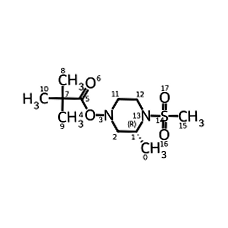 C[C@@H]1CN(OC(=O)C(C)(C)C)CCN1S(C)(=O)=O